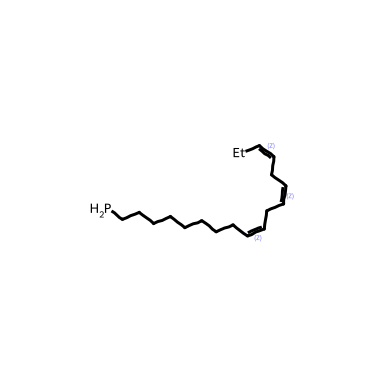 CC/C=C\C/C=C\C/C=C\CCCCCCCCP